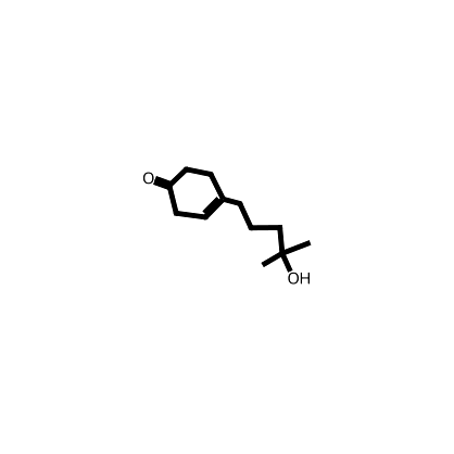 CC(C)(O)CCCC1=CCC(=O)CC1